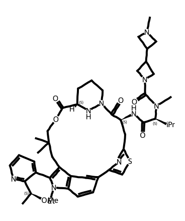 CCn1c(-c2cccnc2[C@H](C)OC)c2c3cc(ccc31)-c1csc(n1)C[C@H](NC(=O)[C@H](C(C)C)N(C)C(=O)N1CC(C3CN(C)C3)C1)C(=O)N1CCC[C@H](N1)C(=O)OCC(C)(C)C2